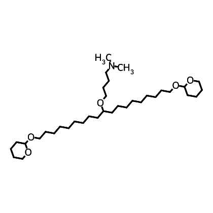 CN(C)CCCCOC(CCCCCCCCCOC1CCCCO1)CCCCCCCCCOC1CCCCO1